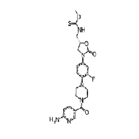 COC(=S)NC[C@H]1CN(c2ccc(N3CCN(C(=O)c4ccc(N)nc4)CC3)c(F)c2)C(=O)O1